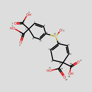 O=C(O)C1(C(=O)O)C=CC([S+]([O-])C2=CCC(C(=O)O)(C(=O)O)C=C2)=CC1